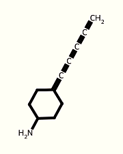 C=C=C=C=C=C1CCC(N)CC1